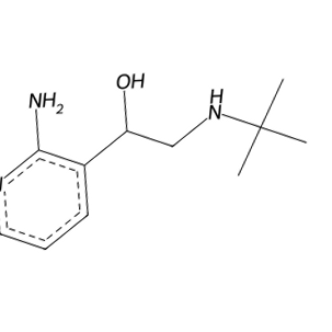 CC(C)(C)NCC(O)c1cccnc1N